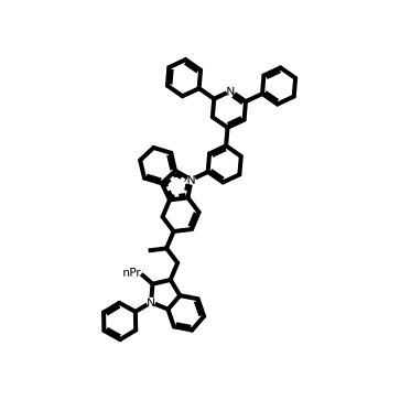 CCCC1C(CC(C)C2C=Cc3c(c4c(n3C3=CCCC(C5=CC(C6=CCCC=C6)=NC(C6C=CC=CC6)C5)=C3)=CCCC=4)C2)C2C=CC=CC2N1C1C=CC=CC1